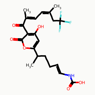 CC(=CC=C(C)C(=O)c1c(O)cc(C(C)CCC=CNC(=O)O)oc1=O)CC(F)(F)F